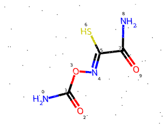 NC(=O)ON=C(S)C(N)=O